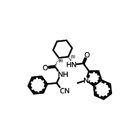 Cn1c(C(=O)N[C@H]2CCCC[C@H]2C(=O)NC(C#N)c2ccccc2)cc2ccccc21